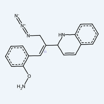 [N-]=[N+]=NC/C(=C\c1ccccc1ON)C1C=Cc2ccccc2N1